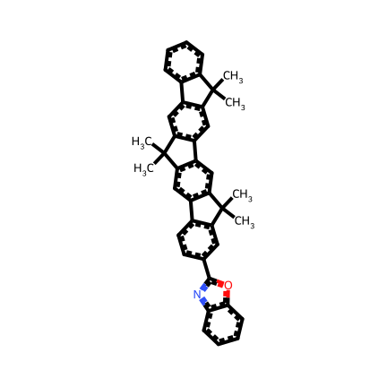 CC1(C)c2ccccc2-c2cc3c(cc21)-c1cc2c(cc1C3(C)C)-c1ccc(-c3nc4ccccc4o3)cc1C2(C)C